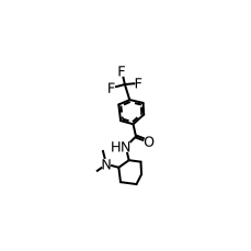 CN(C)C1CCCCC1NC(=O)c1ccc(C(F)(F)F)cc1